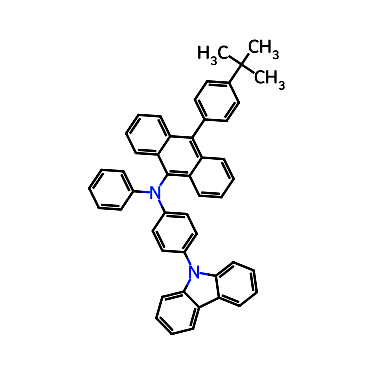 CC(C)(C)c1ccc(-c2c3ccccc3c(N(c3ccccc3)c3ccc(-n4c5ccccc5c5ccccc54)cc3)c3ccccc23)cc1